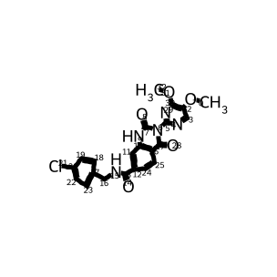 COc1cnc(-n2c(=O)[nH]c3cc(C(=O)NCc4ccc(Cl)cc4)ccc3c2=O)nc1OC